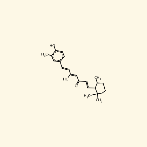 CC1=CCCC(C)(C)C1/C=C/C(=O)/C=C(O)/C=C/c1ccc(O)c(C)c1